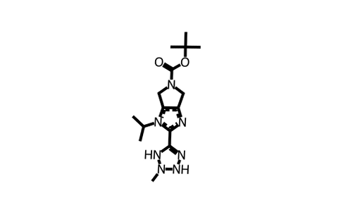 CC(C)n1c(C2=NNN(C)N2)nc2c1CN(C(=O)OC(C)(C)C)C2